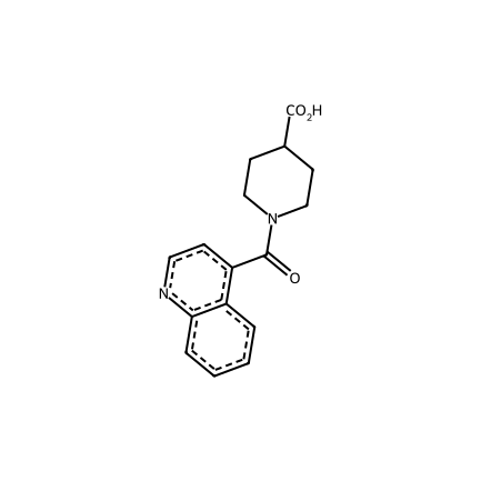 O=C(O)C1CCN(C(=O)c2ccnc3ccccc23)CC1